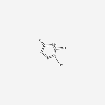 CC(C)n1ncc(=O)[nH]c1=O